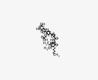 C=CN(O)[C@H](CC)[C@@H](CCCCC)C(=O)NCNC(=O)c1ccc(-c2ccc(C(=O)N[C@@H](CC(=O)O)C(=O)O)c(OCC(=O)O)c2)o1